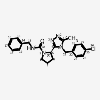 Cc1nnc([C@H]2CCCN2C(=O)NCc2ccccc2)n1Cc1ccc(Cl)cc1